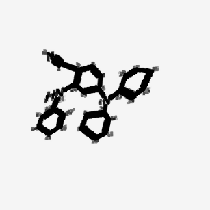 N#Cc1ccc(N(c2ccccc2)c2ccccc2)cc1Nc1ccccc1